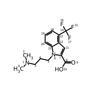 CN(C)CCCn1c(C(=O)O)cc2c(C(F)(F)F)cccc21